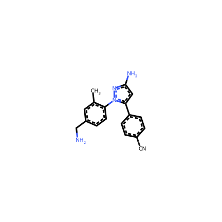 Cc1cc(CN)ccc1-n1nc(N)cc1-c1ccc(C#N)cc1